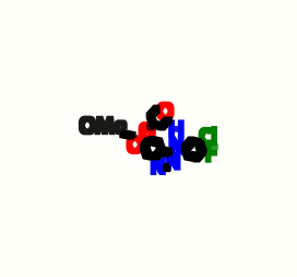 COCCOc1cc2ncnc(Nc3ccc(F)c(Cl)c3)c2cc1OC1CCOCC1